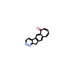 O=c1ccccc2cc3c(cc12)-c1ccnnc1C3